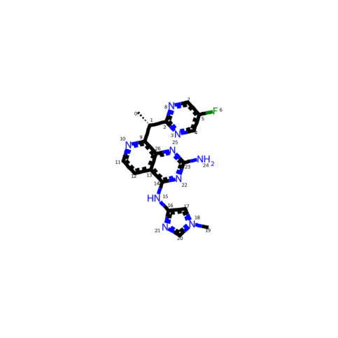 C[C@H](c1ncc(F)cn1)c1nccc2c(Nc3cn(C)cn3)nc(N)nc12